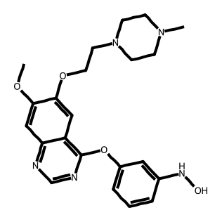 COc1cc2ncnc(Oc3cccc(NO)c3)c2cc1OCCN1CCN(C)CC1